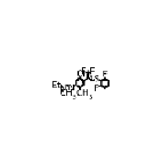 CCN(C)C=Nc1cc(C)c(C(CSc2c(F)cccc2F)=C(F)F)cc1C